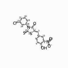 O=C1/C(=C/c2ccc(O)c([N+](=O)[O-])c2)SC(=S)N1c1cccc(Cl)c1